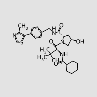 Cc1ncsc1-c1ccc(CNC(=O)[C@@H]2C[C@@H](O)CN2C(=O)[C@@H](NC(=O)C2CCCCC2)C(C)(C)C)cc1